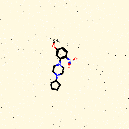 COc1ccc([N+](=O)[O-])c(N2CCN(C3CCCC3)CC2)c1